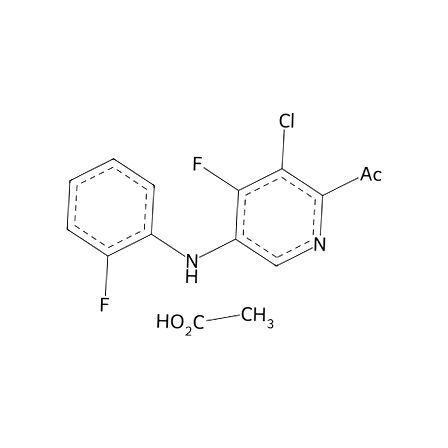 CC(=O)O.CC(=O)c1ncc(Nc2ccccc2F)c(F)c1Cl